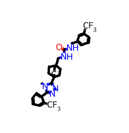 Cn1c(-c2ccccc2C(F)(F)F)nnc1C12CCC(CNC(=O)NCc3cccc(C(F)(F)F)c3)(CC1)CC2